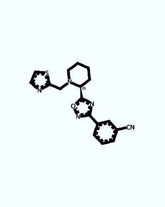 N#Cc1cccc(-c2noc([C@@H]3CCCCN3Cc3nccs3)n2)c1